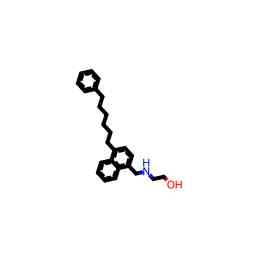 OCCNCc1ccc(CCCCCCc2ccccc2)c2ccccc12